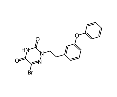 O=c1[nH]c(=O)n(CCc2cccc(Oc3ccccc3)c2)nc1Br